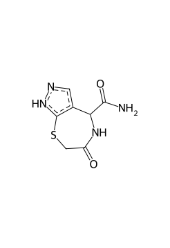 NC(=O)C1NC(=O)CSc2[nH]ncc21